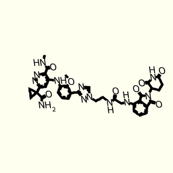 CNC(=O)c1nnc(C2(C(N)=O)CC2)cc1Nc1cccc(-c2ncn(CCNC(=O)CNc3cccc4c3C(=O)N(C3CCC(=O)NC3=O)C4=O)n2)c1OC